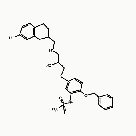 CS(=O)(=O)Nc1cc(OCC(O)CNCC2CCc3ccc(O)cc3C2)ccc1OCc1ccccc1